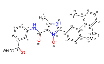 CNC(=O)c1cccc(NC(=O)c2c(C)[nH]c(-c3ccc(OC)c(-c4c(C)cccc4C)c3)[n+]2[O-])c1